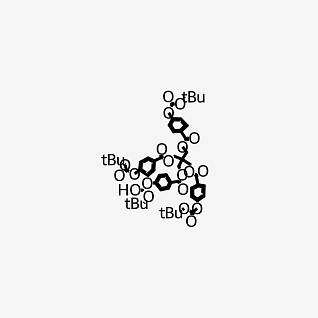 CC(C)(C)OC(=O)Oc1ccc(C(=O)OCC(COC(=O)c2ccc(OC(=O)OC(C)(C)C)cc2)(COC(=O)c2ccc(OC(=O)OC(C)(C)C)cc2)COC(=O)c2ccc(OC(O)OC(C)(C)C)cc2)cc1